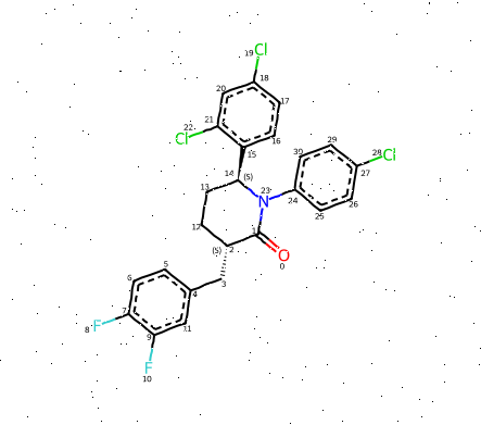 O=C1[C@H](Cc2ccc(F)c(F)c2)CC[C@@H](c2ccc(Cl)cc2Cl)N1c1ccc(Cl)cc1